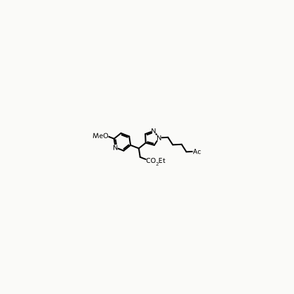 CCOC(=O)CC(c1ccc(OC)nc1)c1cnn(CCCCC(C)=O)c1